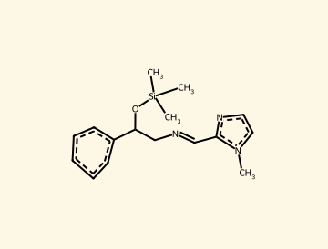 Cn1ccnc1C=NCC(O[Si](C)(C)C)c1ccccc1